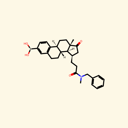 CN(Cc1ccccc1)C(=O)CC[C@@H]1CC(=O)[C@@]2(C)CC[C@@H]3c4ccc(B(O)O)cc4CC[C@H]3[C@H]12